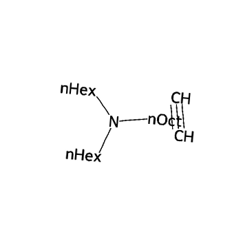 C#C.CCCCCCCCN(CCCCCC)CCCCCC